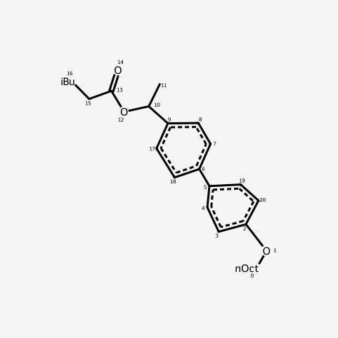 CCCCCCCCOc1ccc(-c2ccc(C(C)OC(=O)CC(C)CC)cc2)cc1